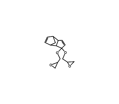 C1=CC2CC1C1C=CC(OCC3CO3)(OCC3CO3)C21